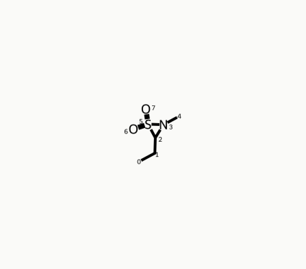 CCC1N(C)S1(=O)=O